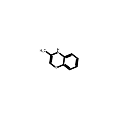 CC1=CSc2ccccc2N1